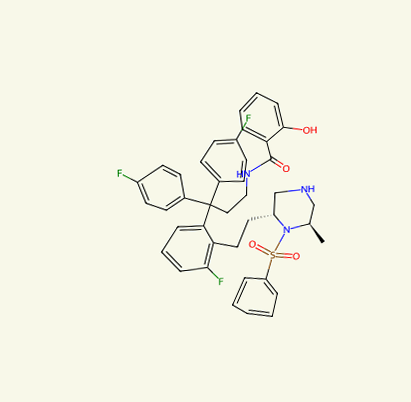 C[C@@H]1CNC[C@@H](CCc2c(F)cccc2C(CCNC(=O)c2ccccc2O)(c2ccc(F)cc2)c2ccc(F)cc2)N1S(=O)(=O)c1ccccc1